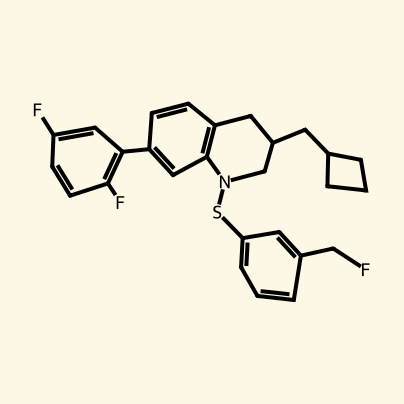 FCc1cccc(SN2CC(CC3CCC3)Cc3ccc(-c4cc(F)ccc4F)cc32)c1